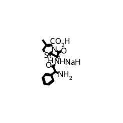 CC1=C(C(=O)O)N2C(=O)[C@@H](NC(=O)C(N)c3ccccc3)[C@H]2SC1.[NaH]